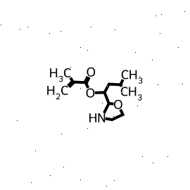 C=C(C)C(=O)OC(CC(C)C)C1NCCO1